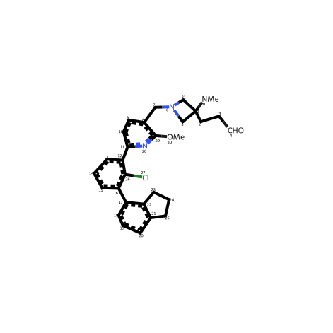 CNC1(CCC=O)CN(Cc2ccc(-c3cccc(-c4cccc5c4CCC5)c3Cl)nc2OC)C1